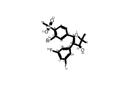 CC1(C)OC(c2ccc(S(C)(=O)=O)c(Br)c2)=C(c2cc(F)cc(F)c2)C1=O